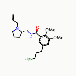 C=CCN1CCC[C@H]1CNC(=O)c1cc(CCC[18F])cc(OC)c1OC